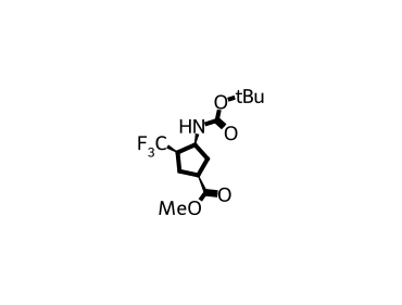 COC(=O)[C@@H]1C[C@H](NC(=O)OC(C)(C)C)[C@H](C(F)(F)F)C1